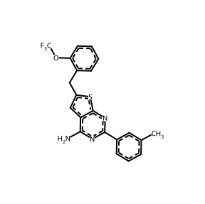 Cc1cccc(-c2nc(N)c3cc(Cc4ccccc4OC(F)(F)F)sc3n2)c1